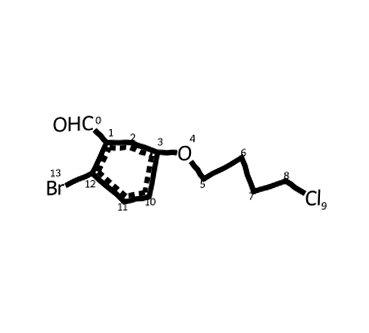 O=Cc1cc(OCCCCCl)ccc1Br